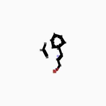 BrC/C=C/c1ccccc1.C=CC